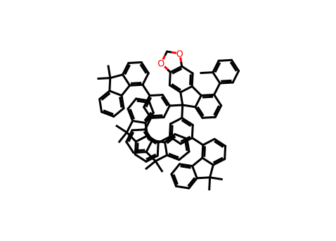 Cc1ccccc1-c1cccc2c1-c1cc3c(cc1C2(c1cc(-c2cccc4c2-c2ccccc2C4(C)C)cc(-c2cccc4c2-c2ccccc2C4(C)C)c1)c1cc(-c2cccc4c2-c2ccccc2C4(C)C)cc(-c2cccc4c2-c2ccccc2C4(C)C)c1)OCO3